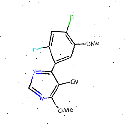 COc1cc(-c2ncnc(OC)c2C#N)c(F)cc1Cl